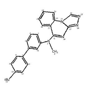 CN(c1cccc(-c2ccc(C(C)(C)C)cc2)c1)c1nc2nncn2c2ccccc12